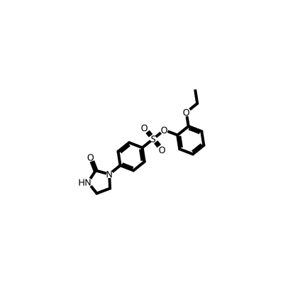 CCOc1ccccc1OS(=O)(=O)c1ccc(N2CCNC2=O)cc1